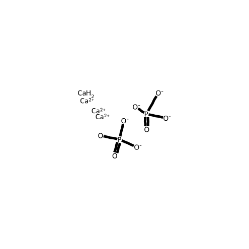 O=P([O-])([O-])[O-].O=P([O-])([O-])[O-].[Ca+2].[Ca+2].[Ca+2].[CaH2]